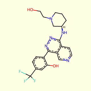 OCCN1CCC[C@@H](Nc2nnc(-c3ccc(C(F)(F)F)cc3O)c3cnccc23)C1